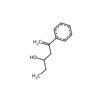 C=C(CC(O)CC)c1ccccc1